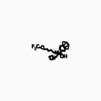 O[C@H](c1ccc2c(c1)OCCO2)[C@@H](CN1CCCC1)NCCCCCOCC(F)(F)F